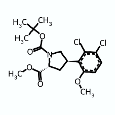 COC(=O)[C@H]1C[C@H](c2c(OC)ccc(Cl)c2Cl)CN1C(=O)OC(C)(C)C